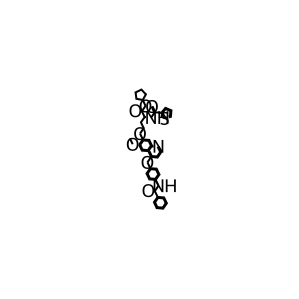 COc1cc2c(Oc3ccc(NC(=O)c4ccccc4)cc3)ccnc2cc1OCCC(NC(=O)c1cccs1)C(=O)OC1CCCC1